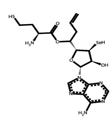 C=CCC(OC(=O)[C@@H](N)CCS)[C@H]1O[C@@H](n2cnc3c(N)ncnc32)[C@H](O)[C@@H]1[SeH]